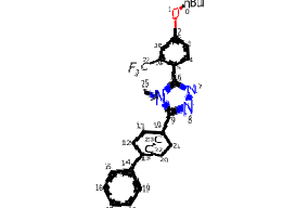 CCCCOc1ccc(-c2nnc(C34CCC(c5ccccc5)(CC3)CC4)n2C)c(C(F)(F)F)c1